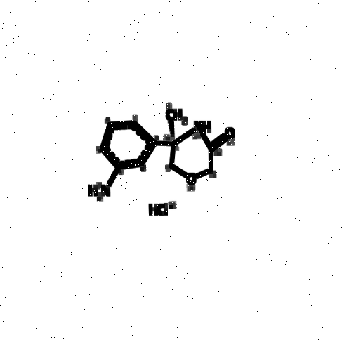 C[C@@]1(c2cccc(N)c2)COCC(=O)N1.Cl